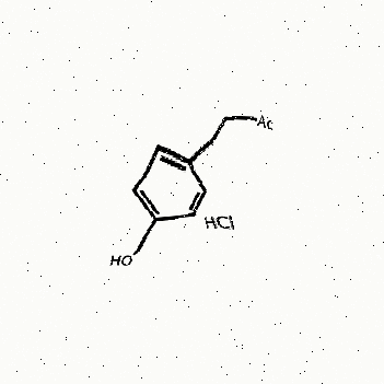 CC(=O)Cc1ccc(O)cc1.Cl